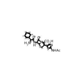 CC(=O)Nc1ncc(C2=C(C(=O)O)N3C(=O)C(NC(=O)C(N)c4ccccc4)C3SC2)s1